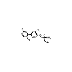 CC(C)C[C@](C)(N)COc1ccc(-c2cc(F)ncc2Cl)cc1C(F)(F)F